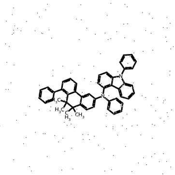 CC1(C)c2ccc(N(c3ccccc3)c3cccc4c3c3ccccc3n4-c3ccccc3)cc2-c2cccc(-c3ccccc3)c2C1(C)C